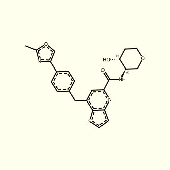 Cc1nc(-c2ccc(Cc3cc(C(=O)N[C@@H]4COCC[C@H]4O)nc4ccsc34)cc2)co1